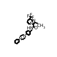 CCc1nc2c(C(F)(F)F)cccn2c1C(=O)NCc1ccc(N2CCN(c3ccccc3)CC2)cc1